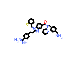 N=C(N)c1ccc(CCc2nc3cc(C(=O)N(Cc4ccc(CN)cc4)c4ccccn4)ccc3n2CC2=CC=CCC2=S)cc1